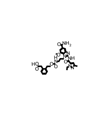 CCn1nc(C)cc1C(=O)Nc1nc2cc(C(N)=O)cc(OC)c2n1CCCNC(=O)OCCc1ccccc1CC(=O)O